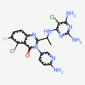 CC(Nc1nc(N)nc(N)c1Cl)c1nc2ccc(F)c(Cl)c2c(=O)n1-c1ccc(N)nc1